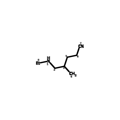 CCNCC(C)CCC#N